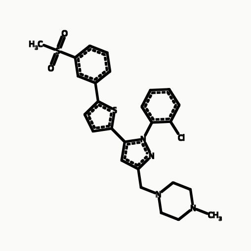 CN1CCN(Cc2cc(-c3ccc(-c4cccc(S(C)(=O)=O)c4)s3)n(-c3ccccc3Cl)n2)CC1